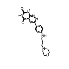 Cn1c(=O)c2nc(-c3ccc(NCCCN4CCOCC4)cc3)nnc2n(C)c1=O